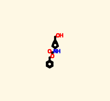 O=C(NC1CC2C(CO)C2C1)OCc1ccccc1